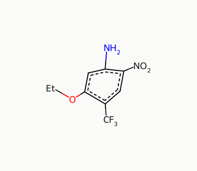 CCOc1cc(N)c([N+](=O)[O-])cc1C(F)(F)F